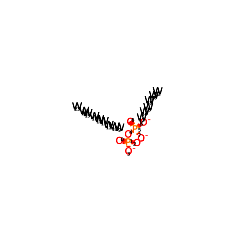 O=P([O-])([O-])OP(=O)([O-])[O-].[W].[W].[W].[W].[W].[W].[W].[W].[W].[W].[W].[W].[W].[W].[W]